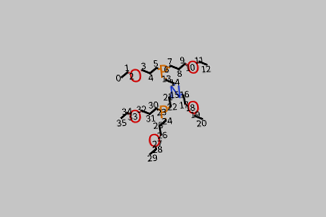 CCOCCCP(CCCOCC)CCN(CCOCC)CCP(CCCOCC)CCCOCC